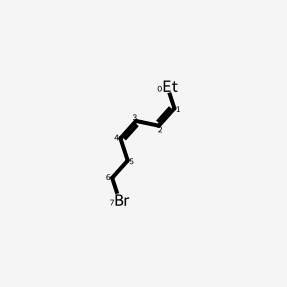 CC/C=C\C=C/CCBr